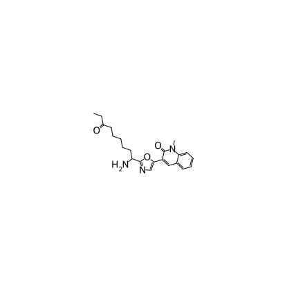 CCC(=O)CCCCCC(N)c1ncc(-c2cc3ccccc3n(C)c2=O)o1